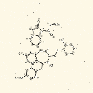 COc1ccc(CN2C(=O)C(CCc3ccccc3Cl)N=C(c3cnc4[nH]c(=O)n(C(=O)OC(C)(C)C)c4c3)c3cc(Cl)ccc32)cc1